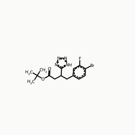 CC(C)(C)OC(=O)CC(Cc1ccc(Br)c(F)c1)c1nnn[nH]1